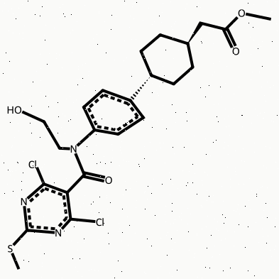 COC(=O)C[C@H]1CC[C@H](c2ccc(N(CCO)C(=O)c3c(Cl)nc(SC)nc3Cl)cc2)CC1